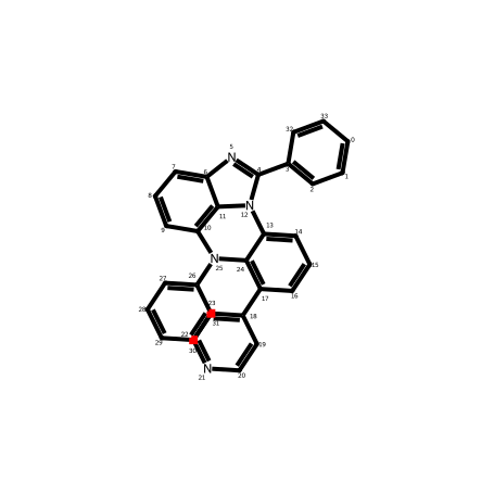 c1ccc(-c2nc3cccc4c3n2-c2cccc(-c3ccncc3)c2N4c2ccccc2)cc1